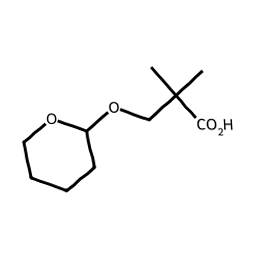 CC(C)(COC1CCCCO1)C(=O)O